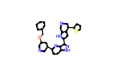 c1ccc(COc2cncc(-c3ccc4[nH]nc(-c5cc6c(-c7cccs7)cncc6[nH]5)c4n3)c2)cc1